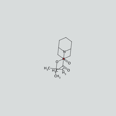 CC(=O)N1CC2CCCC(C1)N2C(=O)OC(C)(C)C